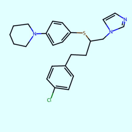 Clc1ccc(CCC(Cn2ccnc2)Sc2ccc(N3CCCCC3)cc2)cc1